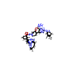 NC(=O)c1nc(Nc2ccccc2)ncc1C1CCN(C(=O)c2cccc(-c3cn4ccccc4n3)c2)CC1